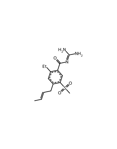 CC=CCc1cc(CC)c(C(=O)N=C(N)N)cc1S(C)(=O)=O